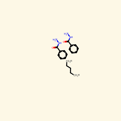 NNC(=O)c1ccccc1.NNC(=O)c1ccccc1.O=C(O)CCCC(=O)O